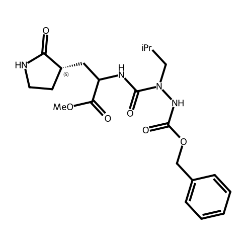 COC(=O)C(C[C@@H]1CCNC1=O)NC(=O)N(CC(C)C)NC(=O)OCc1ccccc1